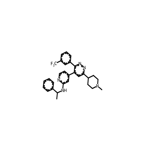 CC(Nc1cc(-c2cc(C3CCN(C)CC3)nnc2-c2cccc(C(F)(F)F)c2)ccn1)c1ccccc1